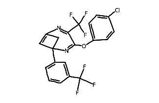 FC(F)(F)C1=NC2=CC(c3cccc(C(F)(F)F)c3)(C2)N=C1Oc1ccc(Cl)cc1